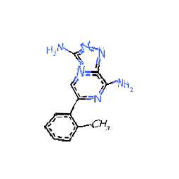 Cc1ccccc1-c1cn2c(N)nnc2c(N)n1